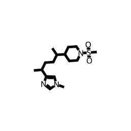 CC(CCC(C)C1CCN(S(C)(=O)=O)CC1)c1cn(C)cn1